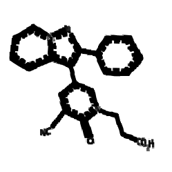 N#Cc1cc(-c2c(-c3ccccc3)nn3ccccc23)cn(CCC(=O)O)c1=O